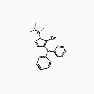 C[C@H](C1C=CC(P(c2ccccc2)c2ccccc2)=C1Br)N(C)C